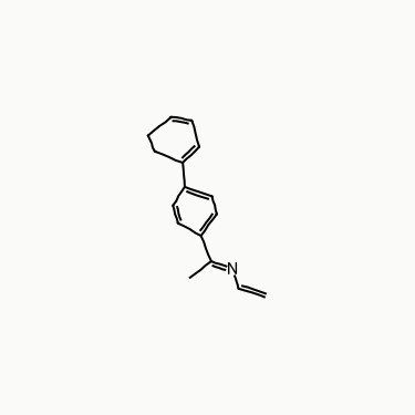 C=CN=C(C)c1ccc(C2=CC=CCC2)cc1